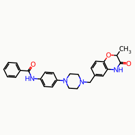 CC1Oc2ccc(CN3CCN(c4ccc(NC(=O)c5ccccc5)cc4)CC3)cc2NC1=O